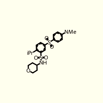 CNc1ccc(S(=O)(=O)c2ccc(C(C)C)c(S(=O)(=O)NC3CCOCC3)c2)cc1